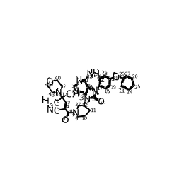 CC(C)(C=C(C#N)C(=O)N1CCCC(n2c(=O)n(-c3ccc(Oc4ccccc4)cc3)c3c(N)ncnc32)C1)N1CCOCC1